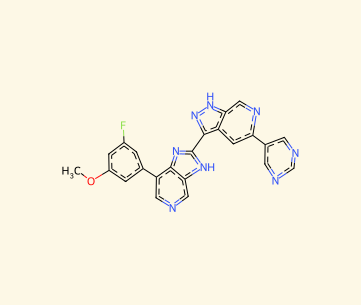 COc1cc(F)cc(-c2cncc3[nH]c(-c4n[nH]c5cnc(-c6cncnc6)cc45)nc23)c1